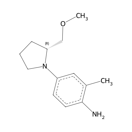 COC[C@H]1CCCN1c1ccc(N)c(C)c1